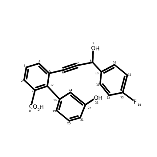 O=C(O)c1cccc(C#CC(O)c2ccc(F)cc2)c1-c1cccc(O)c1